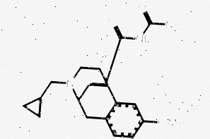 COc1ccc2c(c1)C13CCN(CC4CC4)C(C2)C1CCC(C(=O)NC(N)=O)C3